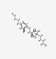 CCCCCc1ccc(CCC2OCC(CCCCC)CO2)c(F)c1